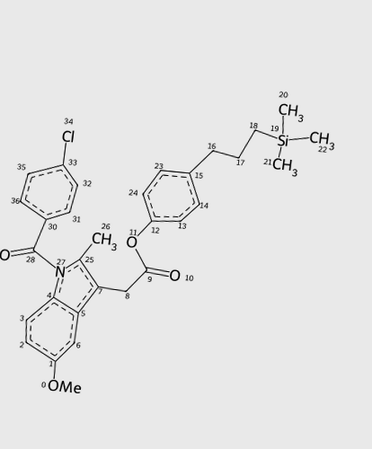 COc1ccc2c(c1)c(CC(=O)Oc1ccc(CCC[Si](C)(C)C)cc1)c(C)n2C(=O)c1ccc(Cl)cc1